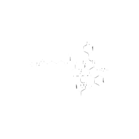 COc1ccccc1Oc1c(OC)nc(-c2ccncc2)nc1N(C(C)OC(=O)OCCCCO[N+](=O)[O-])S(=O)(=O)c1ccc(C)cn1